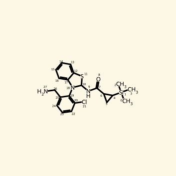 C[Si](C)(C)C1CC1C(=O)NC1Sc2ccccc2N1c1c(Cl)cccc1CN